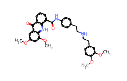 COc1cc(OC)c2[nH]c3c(C(=O)Nc4ccc(CCNCCc5ccc(OC)c(OC)c5)cc4)cccc3c(=O)c2c1